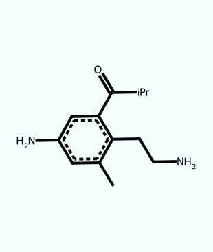 Cc1cc(N)cc(C(=O)C(C)C)c1CCN